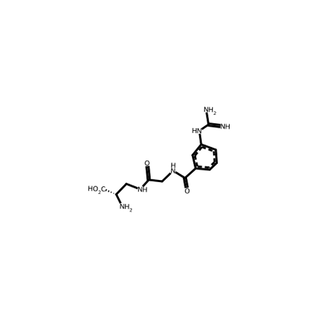 N=C(N)Nc1cccc(C(=O)NCC(=O)NC[C@H](N)C(=O)O)c1